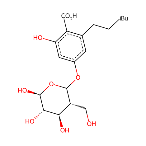 CCC(C)CCc1cc(OC2O[C@H](O)[C@@H](O)[C@H](O)[C@H]2CO)cc(O)c1C(=O)O